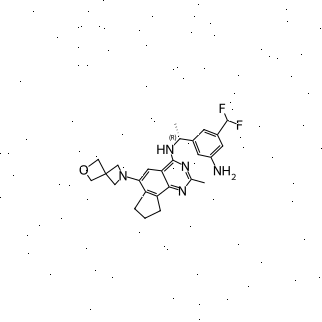 Cc1nc(N[C@H](C)c2cc(N)cc(C(F)F)c2)c2cc(N3CC4(COC4)C3)c3c(c2n1)CCC3